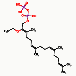 CCOC(COP(=O)(O)OP(=O)(O)O)=C(C)CCC=C(C)CCC=C(C)CCC=C(C)C